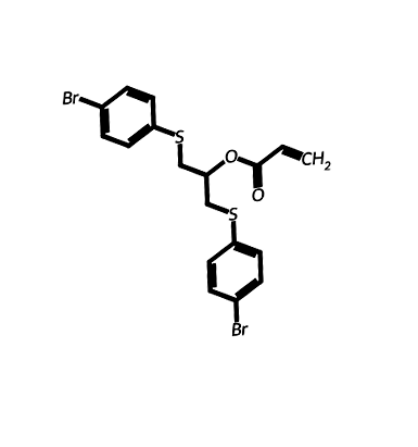 C=CC(=O)OC(CSc1ccc(Br)cc1)CSc1ccc(Br)cc1